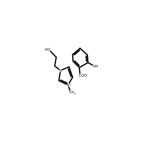 C[n+]1ccn(CCO)c1.O=C([O-])c1ccccc1O